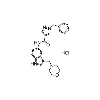 Cl.O=C(Nc1ccc2[nH]cc(CN3CCOCC3)c2c1)c1cnn(Cc2ccccc2)c1